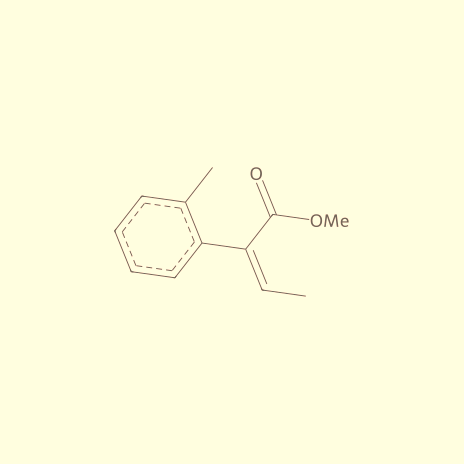 CC=C(C(=O)OC)c1ccccc1C